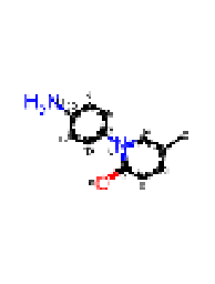 Cc1ccc(=O)n(-c2ccc(N)cc2)c1